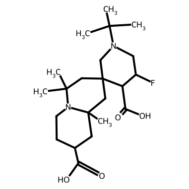 CC(C)(C)N1CC(F)C(C(=O)O)C2(C1)CC(C)(C)N1CCC(C(=O)O)CC1(C)C2